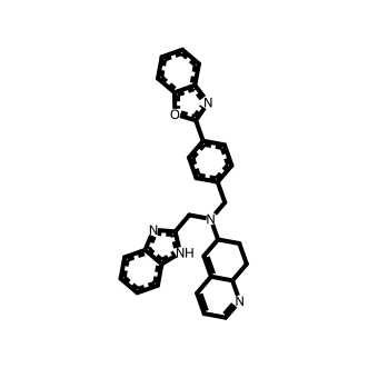 C1=CC2=CC(N(Cc3ccc(-c4nc5ccccc5o4)cc3)Cc3nc4ccccc4[nH]3)CCC2N=C1